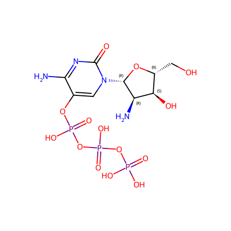 Nc1nc(=O)n([C@@H]2O[C@H](CO)[C@@H](O)[C@H]2N)cc1OP(=O)(O)OP(=O)(O)OP(=O)(O)O